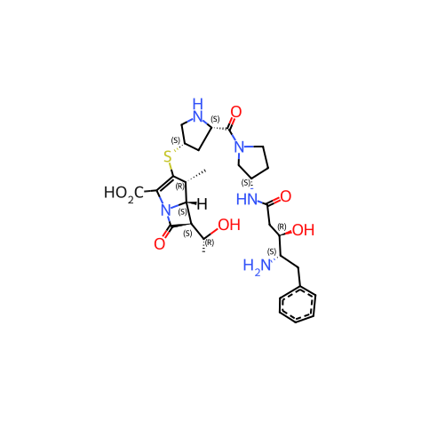 C[C@@H](O)[C@H]1C(=O)N2C(C(=O)O)=C(S[C@@H]3CN[C@H](C(=O)N4CC[C@H](NC(=O)C[C@@H](O)[C@@H](N)Cc5ccccc5)C4)C3)[C@H](C)[C@H]12